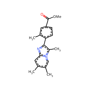 COC(=O)c1ccc(-c2nc3cc(C)c(C)cn3c2C)c(C)c1